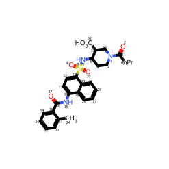 CCCC(=O)N1CCC(NS(=O)(=O)c2ccc(NC(=O)c3ccccc3C)c3ccccc23)C(C(=O)O)C1